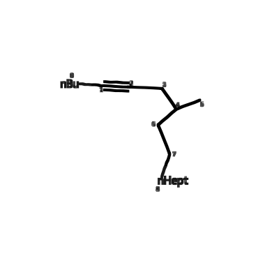 [CH2]CCCC#CCC(C)CCCCCCCC[CH2]